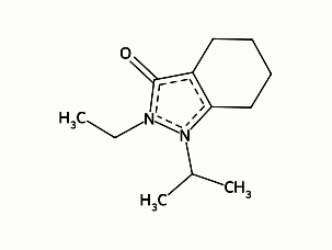 CCn1c(=O)c2c(n1C(C)C)CCCC2